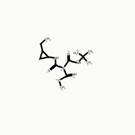 CCC1CC1NC(=O)N(C(=N)OC)C(=O)NC(C)(C)C